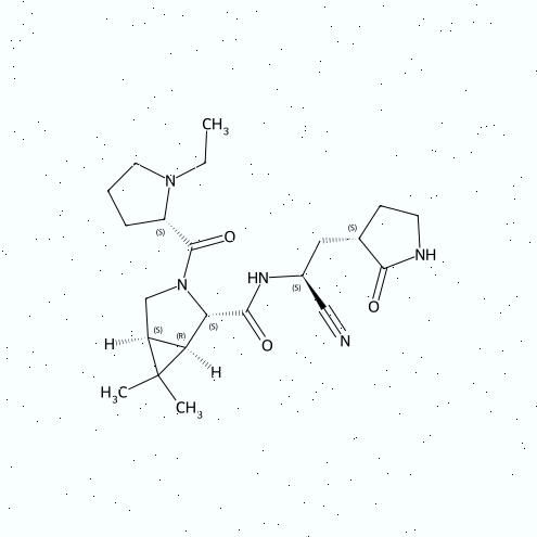 CCN1CCC[C@H]1C(=O)N1C[C@H]2[C@@H]([C@H]1C(=O)N[C@H](C#N)C[C@@H]1CCNC1=O)C2(C)C